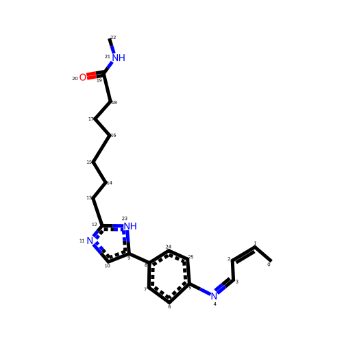 C/C=C\C=N/c1ccc(-c2cnc(CCCCCCC(=O)NC)[nH]2)cc1